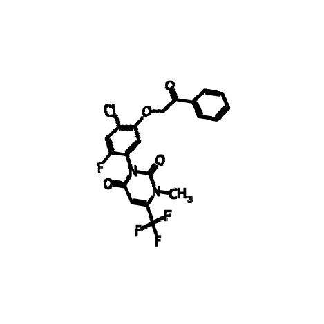 Cn1c(C(F)(F)F)cc(=O)n(-c2cc(OCC(=O)c3ccccc3)c(Cl)cc2F)c1=O